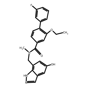 CCOc1cc(C(=O)N(C)Cc2cc(O)cc3cn[nH]c23)ccc1-c1cccc(F)c1